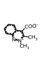 Cc1c(C(=O)[O-])c2ccccc2n[n+]1C